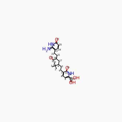 CC(C)(C)C(CCc1ccc(B(O)O)[nH]c1=O)CC(C=O)CCc1ccc(=O)[nH]c1N